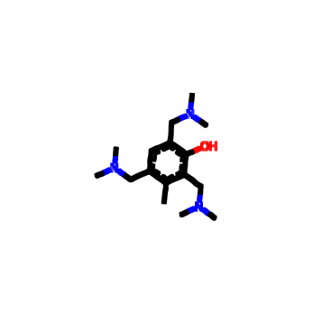 Cc1c(CN(C)C)cc(CN(C)C)c(O)c1CN(C)C